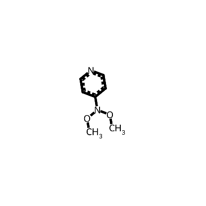 CON(OC)c1ccncc1